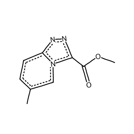 COC(=O)c1nnc2ccc(C)cn12